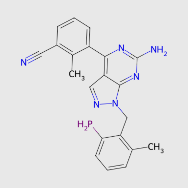 Cc1cccc(P)c1Cn1ncc2c(-c3cccc(C#N)c3C)nc(N)nc21